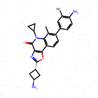 Cc1c(-c2ccc(N)c(C#N)c2)ccc2c3oc([C@H]4C[C@H](N)C4)nc3c(=O)n(C3CC3)c12